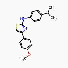 COc1ccc(-c2csc(Nc3ccc(C(C)C)cc3)n2)cc1